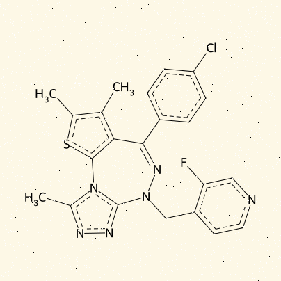 Cc1sc2c(c1C)C(c1ccc(Cl)cc1)=NN(Cc1ccncc1F)c1nnc(C)n1-2